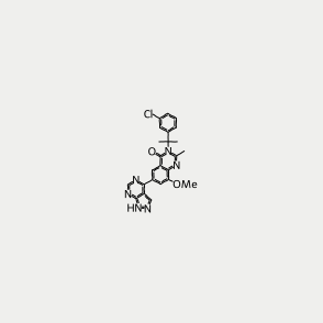 COc1cc(-c2ncnc3[nH]ncc23)cc2c(=O)n(C(C)(C)c3cccc(Cl)c3)c(C)nc12